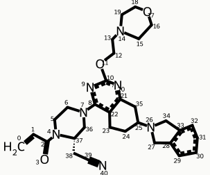 C=CC(=O)N1CCN(c2nc(OCCN3CCOCC3)nc3c2CCC(N2Cc4ccccc4C2)C3)C[C@@H]1CC#N